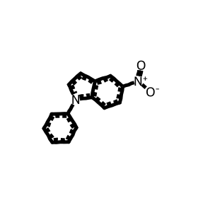 O=[N+]([O-])c1ccc2c(ccn2-c2ccccc2)c1